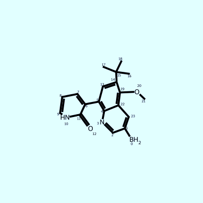 Bc1cnc2c(-c3ccc[nH]c3=O)cc(C(C)(C)C)c(OC)c2c1